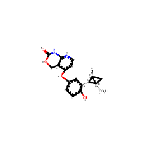 O=C1Nc2nccc(Oc3ccc(O)c([C@@H]4[C@@H]5C[C@@]45C(=O)O)c3)c2CO1